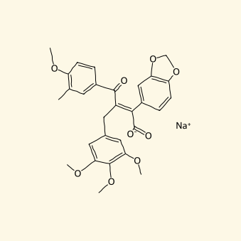 COc1ccc(C(=O)C(Cc2cc(OC)c(OC)c(OC)c2)=C(C(=O)[O-])c2ccc3c(c2)OCO3)cc1C.[Na+]